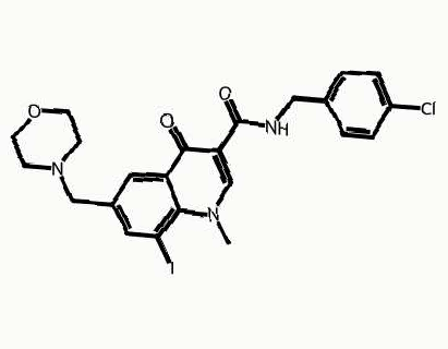 Cn1cc(C(=O)NCc2ccc(Cl)cc2)c(=O)c2cc(CN3CCOCC3)cc(I)c21